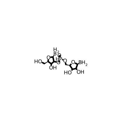 B[C@@H]1O[C@H](CO[PH](=O)OC2C(O)[C@@H](CO)O[C@H]2B)C(O)C1O